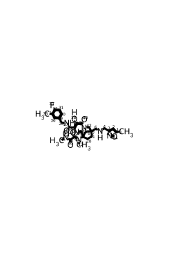 Cc1cc(CNCC23CCC(N(C)C(=O)C(=O)N(C)C)(CC2)c2nc(C(=O)NCc4ccc(F)c(C)c4)c(O)c(=O)n2C3)no1